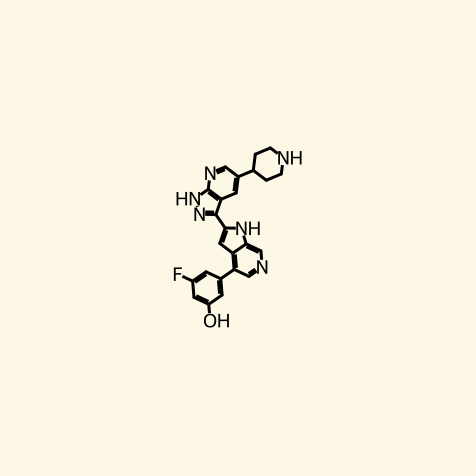 Oc1cc(F)cc(-c2cncc3[nH]c(-c4n[nH]c5ncc(C6CCNCC6)cc45)cc23)c1